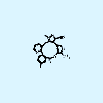 Cc1ccc2c(c1)[C@@H](C)Oc1cc(cnc1N)-c1c(C#N)nn(C)c1Cc1cccnc1-2